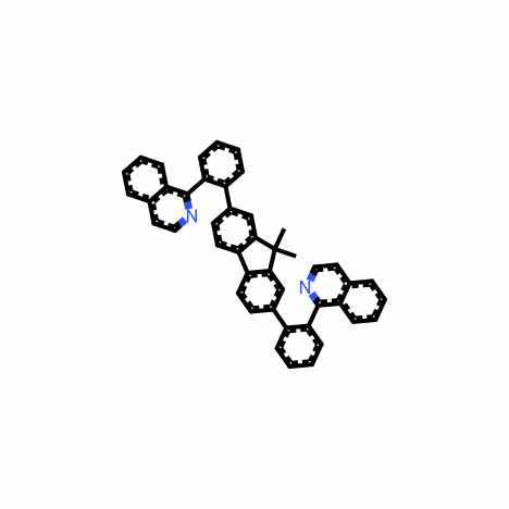 CC1(C)c2cc(-c3ccccc3-c3nccc4ccccc34)ccc2-c2ccc(-c3ccccc3-c3nccc4ccccc34)cc21